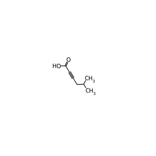 CC(C)CC#CC(=O)O